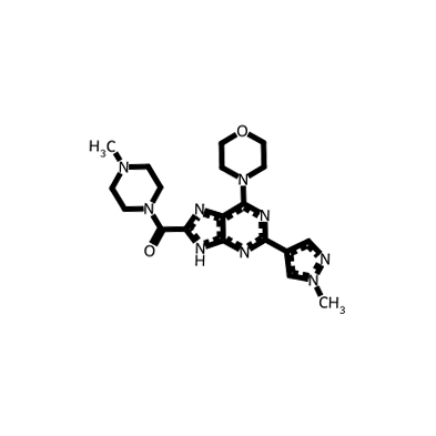 CN1CCN(C(=O)c2nc3c(N4CCOCC4)nc(-c4cnn(C)c4)nc3[nH]2)CC1